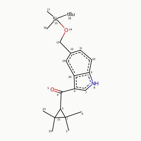 CC1(C)C(C(=O)c2c[nH]c3ccc(CO[Si](C)(C)C(C)(C)C)cc23)C1(C)C